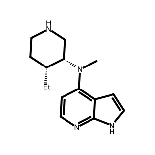 CC[C@@H]1CCNC[C@@H]1N(C)c1ccnc2[nH]ccc12